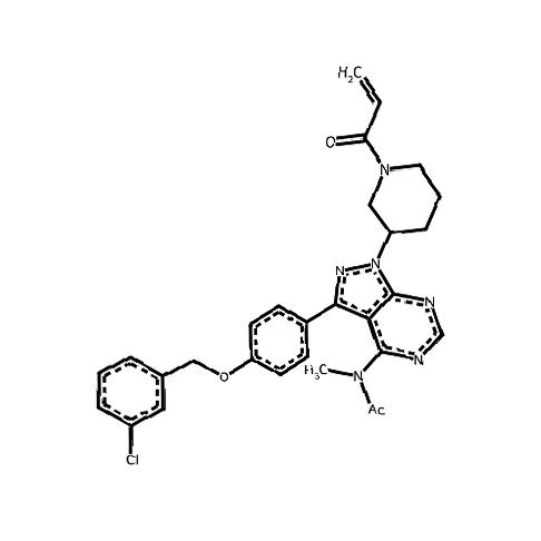 C=CC(=O)N1CCCC(n2nc(-c3ccc(OCc4cccc(Cl)c4)cc3)c3c(N(C)C(C)=O)ncnc32)C1